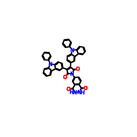 O=C1C(c2ccc3c(c2)c2ccccc2n3-c2ccccc2)=C(c2ccc3c(c2)c2ccccc2n3-c2ccccc2)C(=O)N1c1ccc2c(=O)[nH][nH]c(=O)c2c1